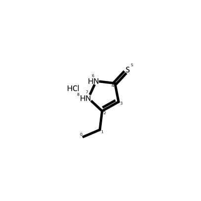 CCc1cc(=S)[nH][nH]1.Cl